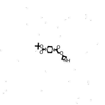 CC(C)(C)OC(=O)N1CCN(C(=O)COC2CNC2)CC1